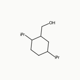 CC(C)C1CCC(C(C)C)C(CO)C1